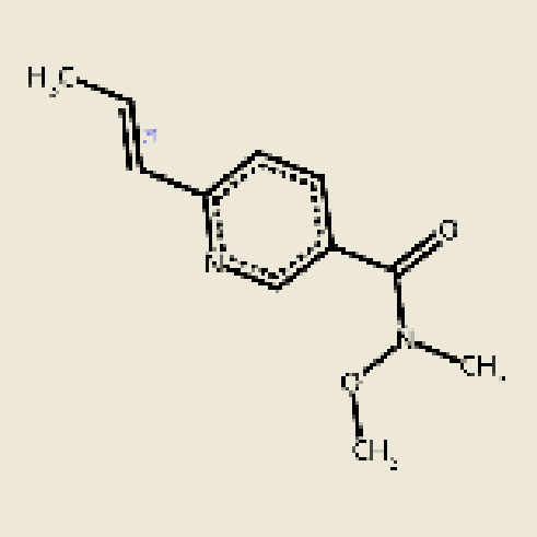 C/C=C/c1ccc(C(=O)N(C)OC)cn1